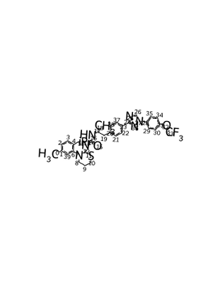 Cc1ccc(C(C)C)c(N2CCCS/C2=N\C(=O)NC(C)Cc2ccc(-c3ncn(-c4ccc(OC(F)(F)F)cc4)n3)cc2)c1